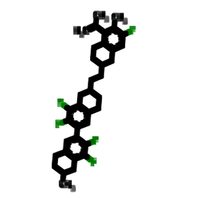 C=C(C)c1c(C)c(F)cc2c1CCC(CCC1CCc3cc(-c4cc5c(c(F)c4F)CC(C)CC5)c(F)c(F)c3C1)C2